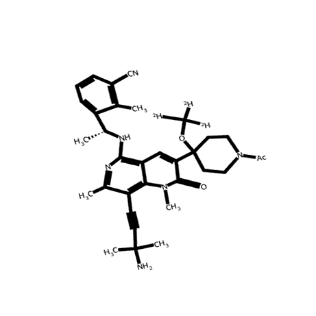 [2H]C([2H])([2H])OC1(c2cc3c(N[C@H](C)c4cccc(C#N)c4C)nc(C)c(C#CC(C)(C)N)c3n(C)c2=O)CCN(C(C)=O)CC1